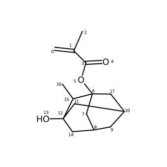 C=C(C)C(=O)OC12CC3CC(CC(O)(C3)C1C)C2